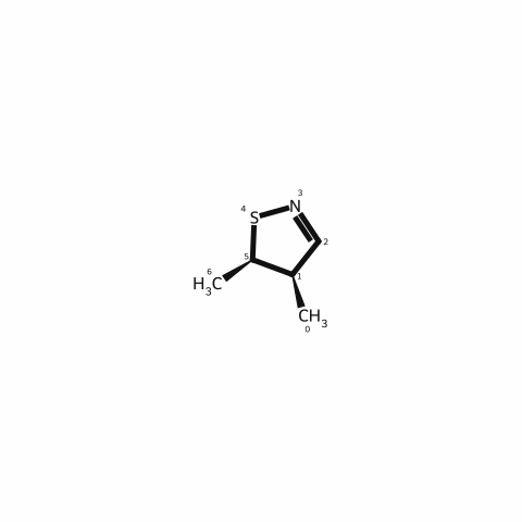 C[C@@H]1C=NS[C@@H]1C